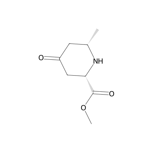 COC(=O)[C@@H]1CC(=O)C[C@H](C)N1